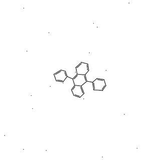 [c]1ccccc1-c1c2ccccc2c(-c2ccccc2)c2ccccc12